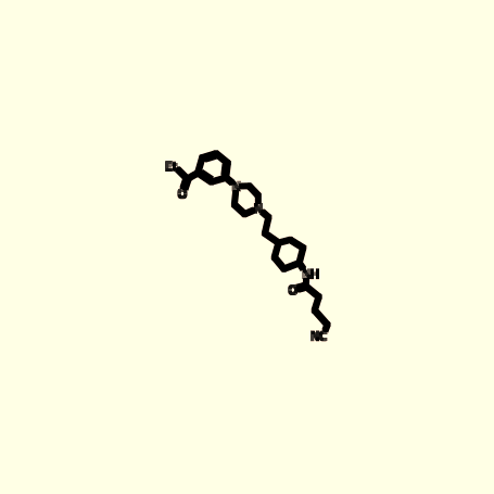 CCC(=O)c1cccc(N2CCN(CCC3CCC(NC(=O)CCCC#N)CC3)CC2)c1